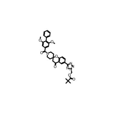 COc1cc(C(=O)N2CCC3(CC2)CC(=O)c2cc(-c4nnn(COC(=O)C(C)(C)C)n4)ccc2O3)cc(OC)c1-c1ccccc1